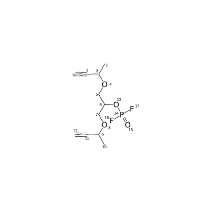 C#CC(C)OCC(COC(C)C#C)OP(=O)(F)F